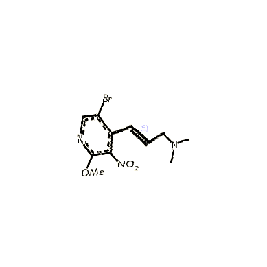 COc1ncc(Br)c(/C=C/CN(C)C)c1[N+](=O)[O-]